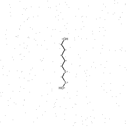 OCCCCCSCSO